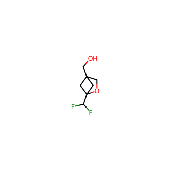 OCC12COC(C(F)F)(C1)C2